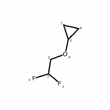 F[C](F)COC1CC1